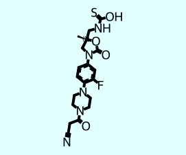 C[C@]1(CNC(O)=S)CN(c2ccc(N3CCN(C(=O)CC#N)CC3)c(F)c2)C(=O)O1